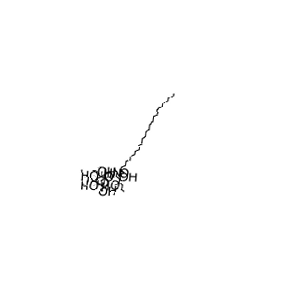 CCCCCCCCCCCCCCCCCCCCCCCCCC(=O)N[C@@H](CO[C@H]1O[C@H](CO)[C@H](O)[C@H](O)[C@H]1O)[C@H](O)[C@H](O)CCC